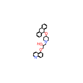 OC(COc1cccc2ncccc12)CN1CCC(OC2c3ccccc3Cc3ccccc32)CC1